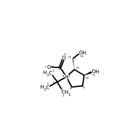 CC(C)(C)[N+]1(C(=O)[O-])CC[C@H](O)[C@H]1CO